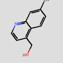 N#Cc1ccc2c(CO)ccnc2c1